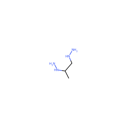 CC(CNN)NN